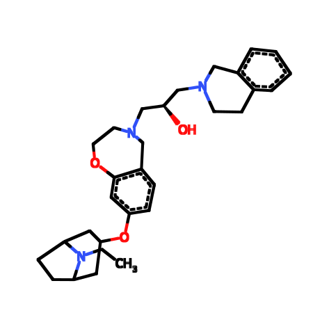 CCN1C2CCC1CC(Oc1ccc3c(c1)OCCN(C[C@H](O)CN1CCc4ccccc4C1)C3)C2